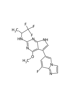 COc1nc(NC(C)C(F)(F)F)nc2[nH]cc(-c3cc(F)c4nccn4c3)c12